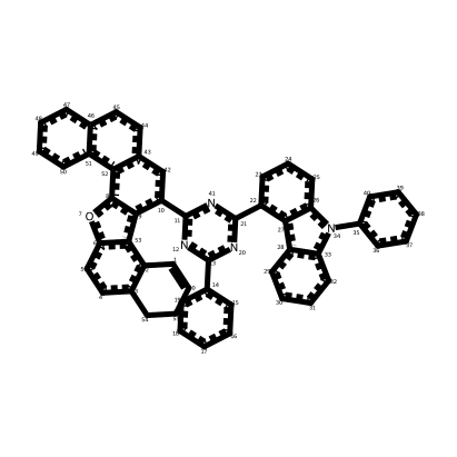 C1=Cc2c(ccc3oc4c(c(-c5nc(-c6ccccc6)nc(-c6cccc7c6c6ccccc6n7-c6ccccc6)n5)cc5ccc6ccccc6c54)c23)CC1